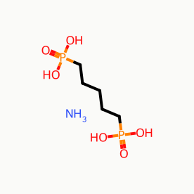 N.O=P(O)(O)CCCCCP(=O)(O)O